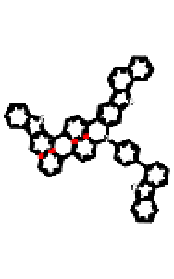 c1ccc(-c2ccc(N(c3ccc(-c4cccc5c4oc4ccccc45)cc3)c3cc4oc5c6ccccc6ccc5c4cc3-c3ccc(-c4cccc5c4sc4ccccc45)cc3)cc2)cc1